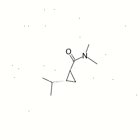 CC(C)[C@H]1CC1C(=O)N(C)C